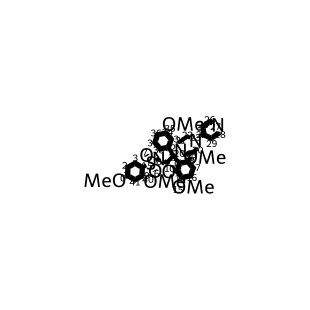 COc1ccc(S(=O)(=O)N2C(=O)C(c3cc(OC)ccc3OC)(N3CCN(c4ccncc4)CC3)c3cc(OC)ccc32)c(OC)c1